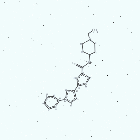 CCN1CCC(NC(=O)c2csc(-c3cnn(-c4cnccn4)c3)n2)CC1